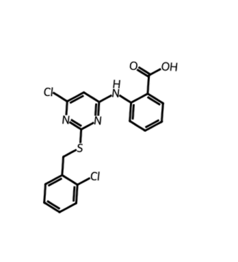 O=C(O)c1ccccc1Nc1cc(Cl)nc(SCc2ccccc2Cl)n1